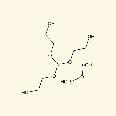 CCCCCCCCOS(=O)(=O)O.OCCON(OCCO)OCCO